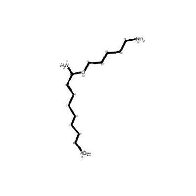 CCCCCCCCCCCCCCCCCC(N)OCCCCCN